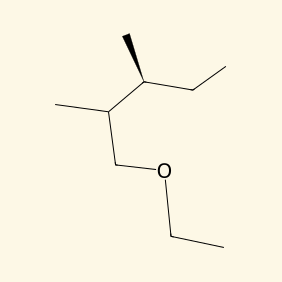 CCOCC(C)[C@@H](C)CC